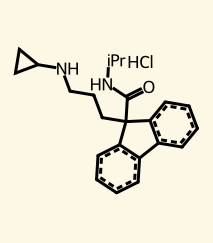 CC(C)NC(=O)C1(CCCNC2CC2)c2ccccc2-c2ccccc21.Cl